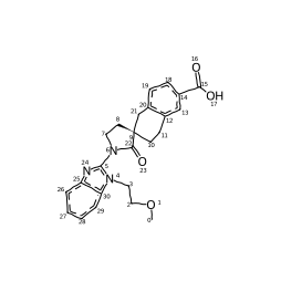 COCCn1c(N2CC[C@@]3(CCc4cc(C(=O)O)ccc4C3)C2=O)nc2ccccc21